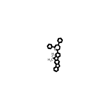 CC1(C)c2cc(C3=NC(c4ccccc4)=CC(c4ccccc4)CC3)ccc2-c2cc3c(cc21)-c1ccccc1C3